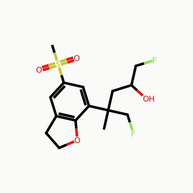 CC(CF)(CC(O)CF)c1cc(S(C)(=O)=O)cc2c1OCC2